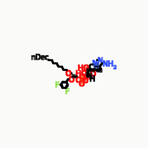 CCCCCCCCCCCCCCCCCCOC[C@H](COP(=O)(O)OC1[C@H]2O[C@@](C)(c3ccc4c(N)ncnn34)[C@H](O)[C@@]12O)OCc1cc(F)cc(F)c1